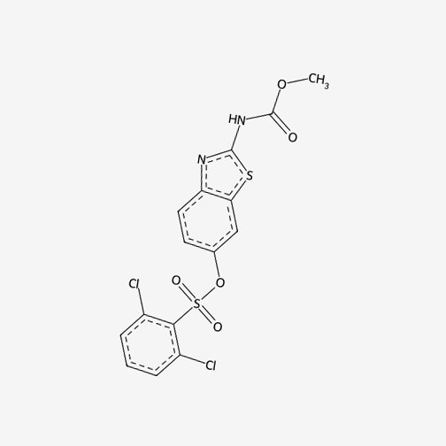 COC(=O)Nc1nc2ccc(OS(=O)(=O)c3c(Cl)cccc3Cl)cc2s1